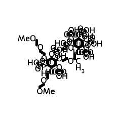 COCCOCCO[C@@H]1[C@@H](OP(=O)(O)O)[C@@H](OCCO[C@@H](C)CO[C@H]2[C@@H](OP(=O)(O)O)[C@H](OP(=O)(O)O)[C@@H](OP(=O)(O)O)[C@H](OP(=O)(O)O)[C@H]2OP(=O)(O)O)[C@@H](OP(=O)(O)O)[C@H](OCCOCCOC)[C@H]1PP(=O)(O)O